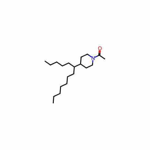 CCCCCCCC(CCCCC)C1CCN(C(C)=O)CC1